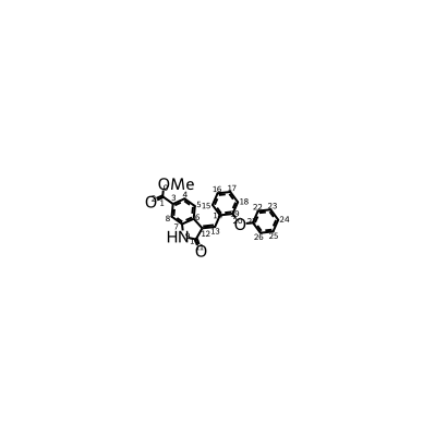 COC(=O)c1ccc2c(c1)NC(=O)/C2=C/c1ccccc1Oc1ccccc1